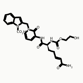 NC(=O)/C=C/CC[C@H](NC(=O)OCCO)C(=O)Nc1cccn(Cc2cc3ccccc3n2C(=O)O)c1=O